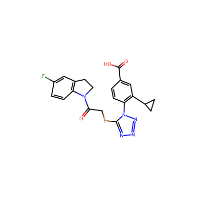 O=C(O)c1ccc(-n2nnnc2SCC(=O)N2CCc3cc(F)ccc32)c(C2CC2)c1